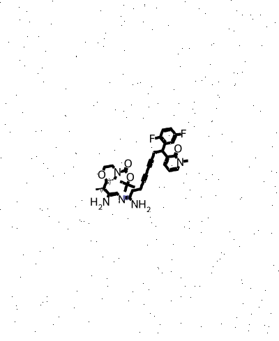 C[C@H](C(N)=C/N=C(/N)CCC#CC#CCC(c1cc(F)ccc1F)c1cccn(C)c1=O)[C@H]1CN(C(=O)OC(C)(C)C)CCO1